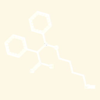 CCCCCCCCCCCCCCON(c1ccccc1)C(C(=O)Cl)c1ccccc1